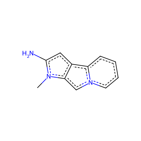 Cn1c(N)cc2c1cn1ccccc21